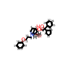 OC(CO[C@H]1C2CC[N+](CCCOc3ccccc3)(CC2)[C@H]1Br)(c1ccccc1)C1CCCC1